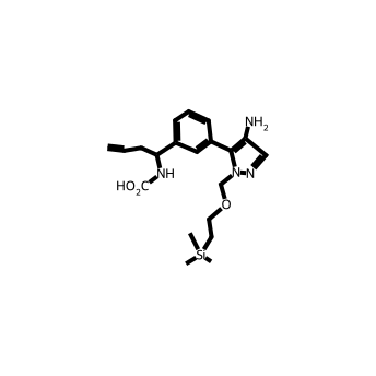 C=CCC(NC(=O)O)c1cccc(-c2c(N)cnn2COCC[Si](C)(C)C)c1